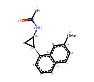 CCCC(=O)N[C@@H]1C[C@H]1c1cccc2ccc(OC)cc12